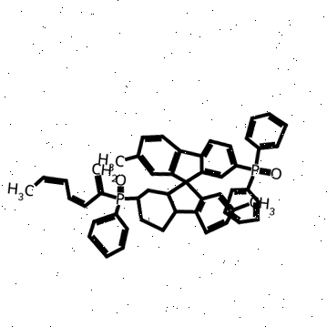 C=C(/C=C\C=C/C)P(=O)(c1ccccc1)C1CCC2c3ccc(C)cc3C3(c4cc(C)ccc4-c4ccc(P(=O)(c5ccccc5)c5ccccc5)cc43)C2C1